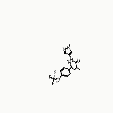 CC1CC(c2ccc(OC(F)(F)F)cc2)=NN(c2cnn(C)c2)C1=O